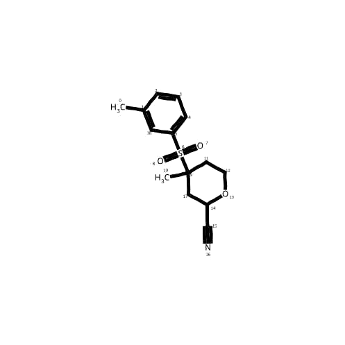 Cc1cccc(S(=O)(=O)C2(C)CCOC(C#N)C2)c1